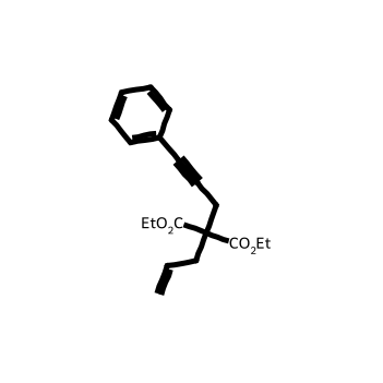 C=CCC(CC#Cc1ccccc1)(C(=O)OCC)C(=O)OCC